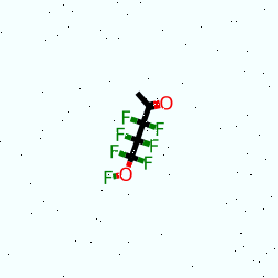 CC(=O)C(F)(F)C(F)(F)C(F)(F)OF